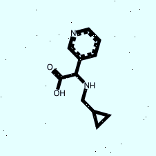 O=C(O)C(NCC1CC1)c1cccnc1